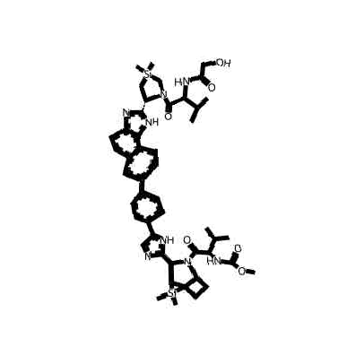 COC(=O)NC(C(=O)N1C(c2ncc(-c3ccc(-c4ccc5c(ccc6nc([C@@H]7C[Si](C)(C)CN7C(=O)C(NC(=O)CO)C(C)C)[nH]c65)c4)cc3)[nH]2)C2C3(CCC13)[Si]2(C)C)C(C)C